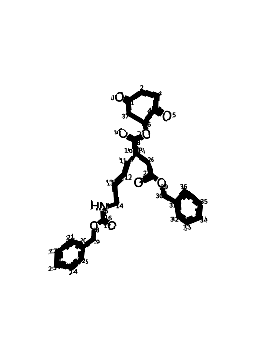 O=C1CCC(=O)C(OC(=O)[C@H](CCCCNC(=O)OCc2ccccc2)CC(=O)OCc2ccccc2)C1